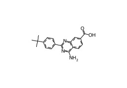 CC(C)(C)c1ccc(-c2nc(N)c3ccc(C(=O)O)cc3n2)cc1